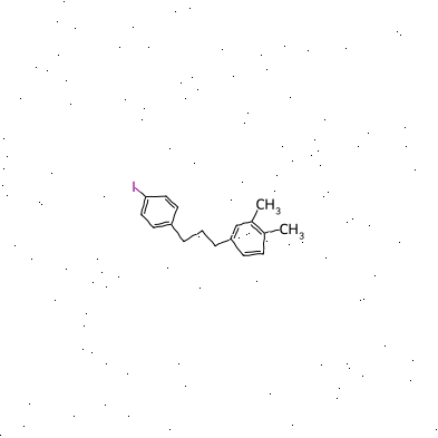 Cc1ccc(CCCc2ccc(I)cc2)cc1C